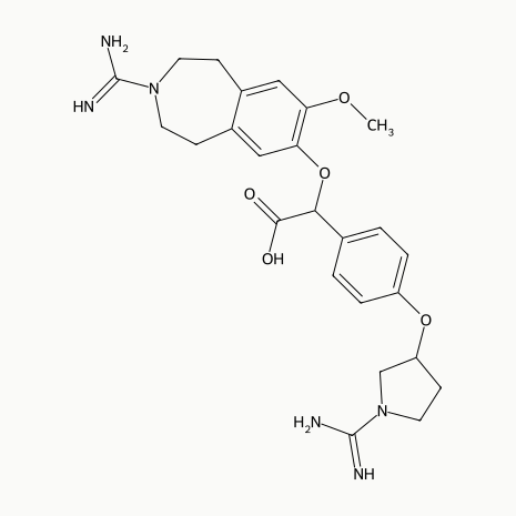 COc1cc2c(cc1OC(C(=O)O)c1ccc(OC3CCN(C(=N)N)C3)cc1)CCN(C(=N)N)CC2